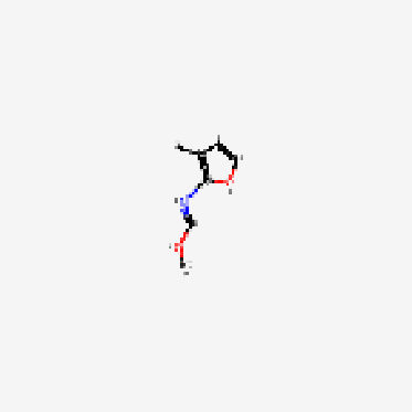 CCO/C=N/c1occc1C